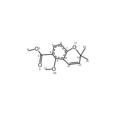 COC(=O)c1ccc2c(c1OC)C=CC(C)(C)O2